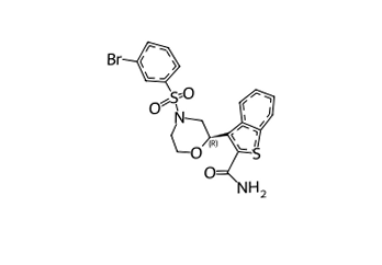 NC(=O)c1sc2ccccc2c1[C@@H]1CN(S(=O)(=O)c2cccc(Br)c2)CCO1